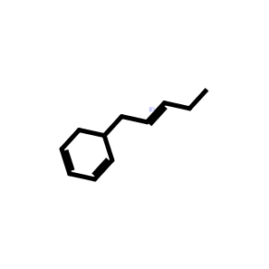 CC/C=C/C[C]1C=CC=CC1